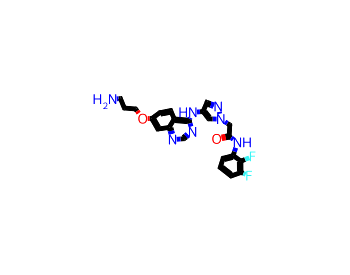 NCCCOc1ccc2c(Nc3cnn(CC(=O)Nc4cccc(F)c4F)c3)ncnc2c1